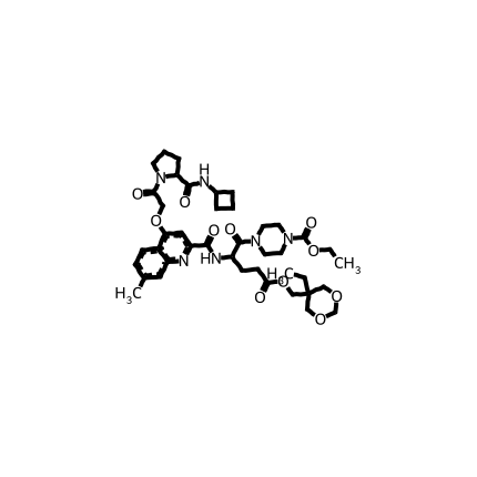 CCOC(=O)N1CCN(C(=O)C(CCC(=O)OCC2(CC)COCOC2)NC(=O)c2cc(OCC(=O)N3CCCC3C(=O)NC3CCC3)c3ccc(C)cc3n2)CC1